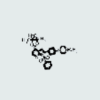 CN1CCN(c2ccc(-c3cc4c(B5OC(C)(C)C(C)(C)O5)ccnc4n3S(=O)(=O)c3ccccc3)cc2)CC1